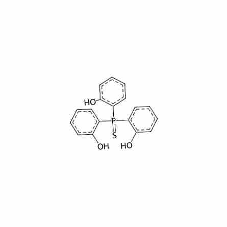 Oc1ccccc1P(=S)(c1ccccc1O)c1ccccc1O